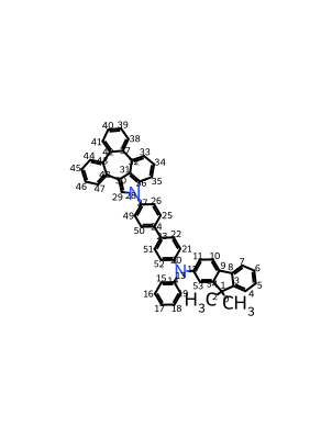 CC1(C)c2ccccc2-c2ccc(N(c3ccccc3)c3ccc(-c4ccc(-n5cc6c7c(cccc75)-c5ccccc5-c5ccccc5-6)cc4)cc3)cc21